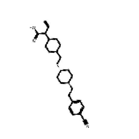 C=CC(C(=O)O)C1CCC(CC[C@H]2CC[C@H](CCc3ccc(C#N)cc3)CC2)CC1